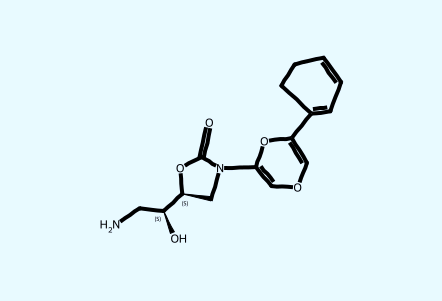 NC[C@H](O)[C@@H]1CN(C2=COC=C(C3=CC=CCC3)O2)C(=O)O1